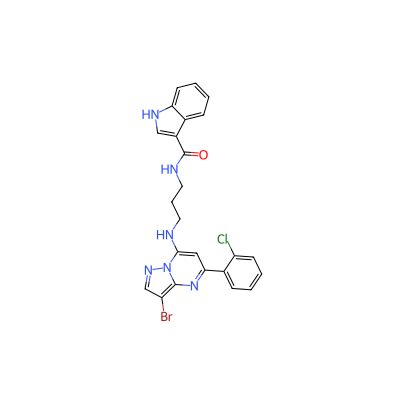 O=C(NCCCNc1cc(-c2ccccc2Cl)nc2c(Br)cnn12)c1c[nH]c2ccccc12